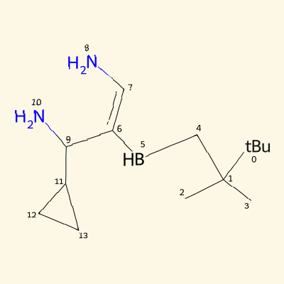 CC(C)(C)C(C)(C)CB/C(=C/N)C(N)C1CC1